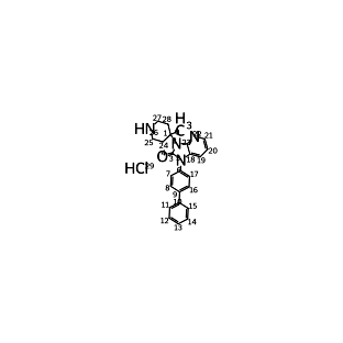 CC1(n2c(=O)n(-c3ccc(-c4ccccc4)cc3)c3cccnc32)CCNCC1.Cl